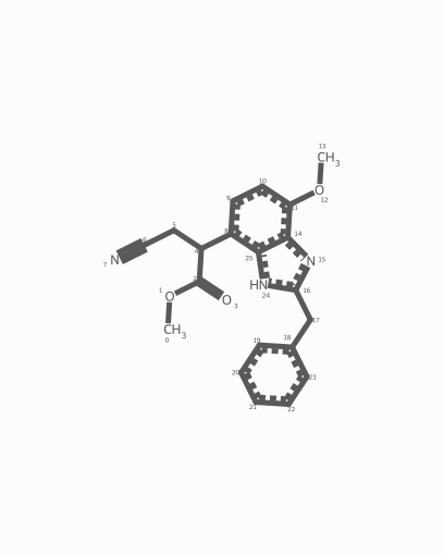 COC(=O)C(CC#N)c1ccc(OC)c2nc(Cc3ccccc3)[nH]c12